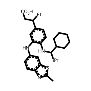 CCC(CC(=O)O)c1ccc(NC(C(C)C)C2CCCCC2)c(Nc2ccc3nc(C)sc3c2)c1